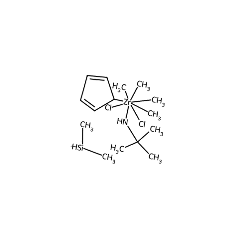 CC(C)(C)[NH][Zr]([CH3])([CH3])([CH3])([CH3])([Cl])([Cl])[CH]1C=CC=C1.C[SiH]C